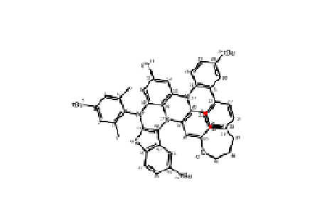 Cc1cc(C(C)(C)C)cc(C)c1N1c2cc(C(C)C)cc3c2B(c2cc4c(cc2N3c2ccc(C(C)(C)C)cc2-c2ccccc2)OCCCO4)c2c1sc1ccc(C(C)(C)C)cc21